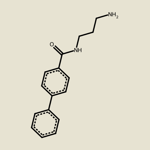 NCCCNC(=O)c1ccc(-c2ccccc2)cc1